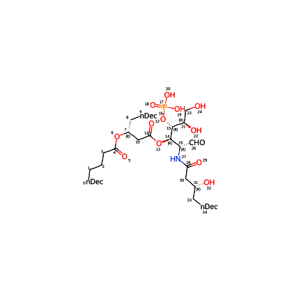 CCCCCCCCCCCCCC(=O)O[C@H](CCCCCCCCCCC)CC(=O)O[C@@H]([C@H](OP(=O)(O)O)[C@H](O)CO)[C@H](C=O)NC(=O)C[C@H](O)CCCCCCCCCCC